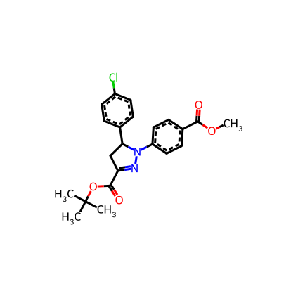 COC(=O)c1ccc(N2N=C(C(=O)OC(C)(C)C)CC2c2ccc(Cl)cc2)cc1